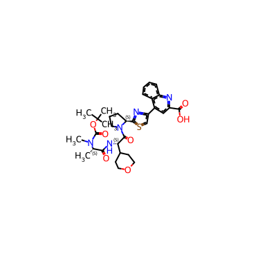 C[C@@H](C(=O)N[C@H](C(=O)N1CCC[C@H]1c1nc(-c2cc(C(=O)O)nc3ccccc23)cs1)C1CCOCC1)N(C)C(=O)OC(C)(C)C